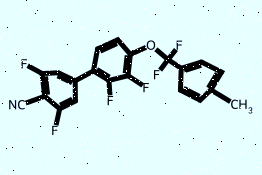 Cc1ccc(C(F)(F)Oc2ccc(-c3cc(F)c(C#N)c(F)c3)c(F)c2F)cc1